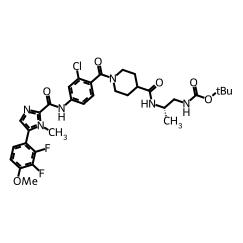 COc1ccc(-c2cnc(C(=O)Nc3ccc(C(=O)N4CCC(C(=O)N[C@@H](C)CNC(=O)OC(C)(C)C)CC4)c(Cl)c3)n2C)c(F)c1F